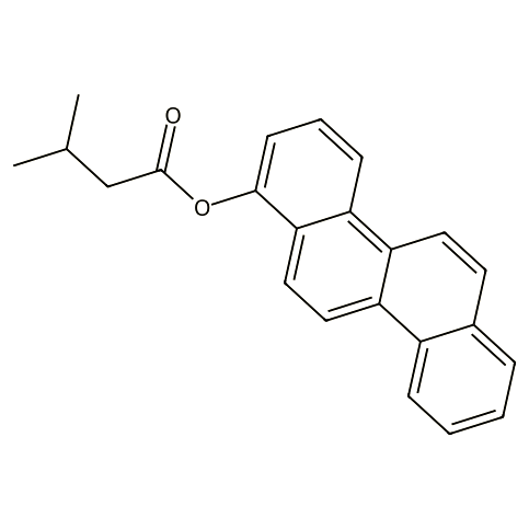 CC(C)CC(=O)Oc1cccc2c1ccc1c3ccccc3ccc21